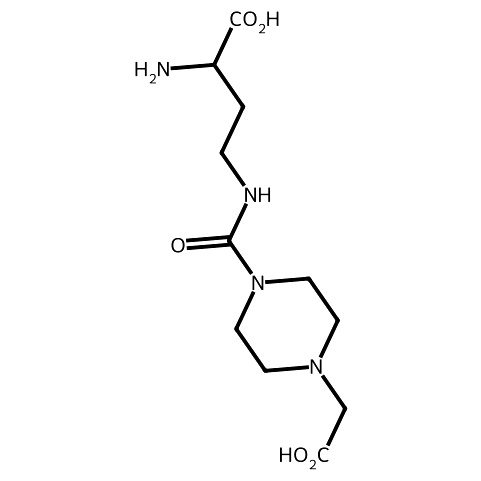 NC(CCNC(=O)N1CCN(CC(=O)O)CC1)C(=O)O